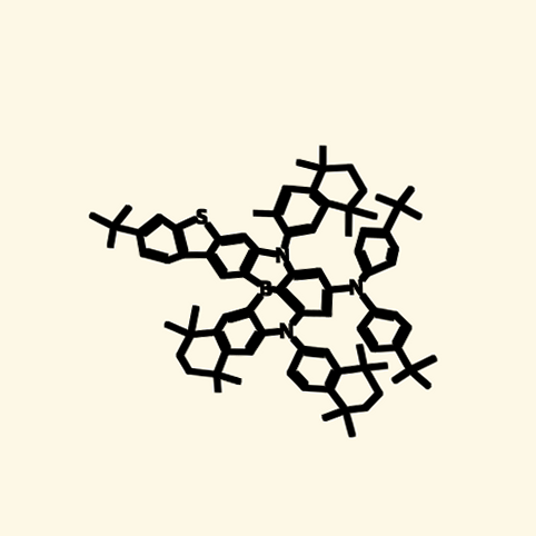 Cc1cc2c(cc1N1c3cc4sc5cc(C(C)(C)C)ccc5c4cc3B3c4cc5c(cc4N(c4ccc6c(c4)C(C)(C)CCC6(C)C)c4cc(N(c6ccc(C(C)(C)C)cc6)c6ccc(C(C)(C)C)cc6)cc1c43)C(C)(C)CCC5(C)C)C(C)(C)CCC2(C)C